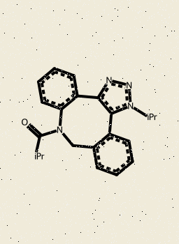 CC(C)C(=O)N1Cc2ccccc2-c2c(nnn2C(C)C)-c2ccccc21